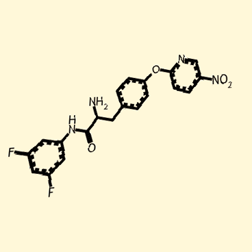 NC(Cc1ccc(Oc2ccc([N+](=O)[O-])cn2)cc1)C(=O)Nc1cc(F)cc(F)c1